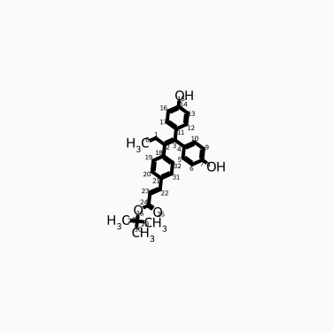 CCC(=C(c1ccc(O)cc1)c1ccc(O)cc1)c1ccc(/C=C/C(=O)OC(C)(C)C)cc1